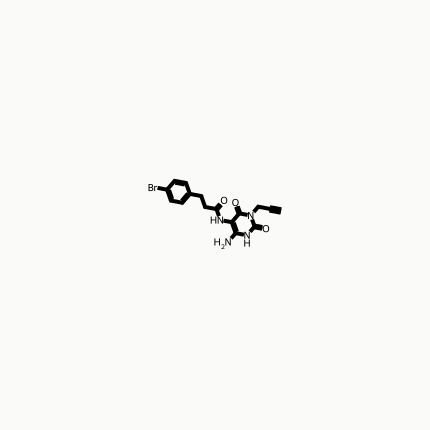 C#CCn1c(=O)[nH]c(N)c(NC(=O)CCc2ccc(Br)cc2)c1=O